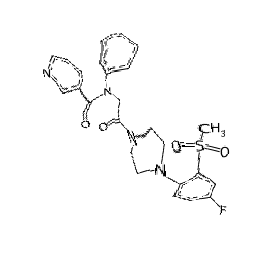 CS(=O)(=O)c1cc(F)ccc1N1CCN(C(=O)CN(C(=O)c2cccnc2)c2ccccc2)CC1